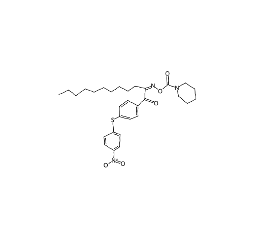 CCCCCCCCCCC(=NOC(=O)N1CCCCC1)C(=O)c1ccc(Sc2ccc([N+](=O)[O-])cc2)cc1